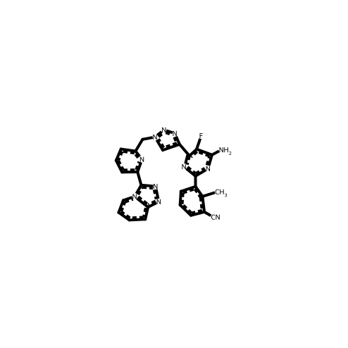 Cc1c(C#N)cccc1-c1nc(N)c(F)c(-c2cn(Cc3cccc(-c4nnc5ccccn45)n3)nn2)n1